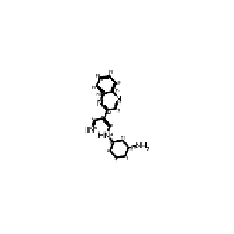 N=C/C(=C\NC1CCCC(N)C1)c1cnc2ccccc2n1